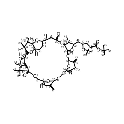 C=C1C[C@@H]2CCC(=O)/C=C/[C@H](O[Si](C)(C)C(C)(C)C)[C@@H]3O[C@H]4CC[C@H](CC(=O)C[C@H]5[C@H](CC6O[C@@H](CCC1O2)C[C@@H](C)C6=C)OC(C[C@H]1CN(C(=O)OC(C)(C)C)C(C)(C)O1)[C@@H]5C)O[C@@H]4[C@H](C)[C@@H]3C